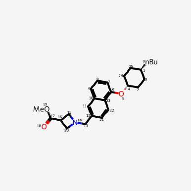 CCCC[C@H]1CC[C@H](Oc2cccc3cc(CN4CC(C(=O)OC)C4)ccc23)CC1